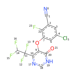 N#Cc1cc(Cl)cc(Oc2c(C(F)(F)C(F)F)nc[nH]c2=O)c1F